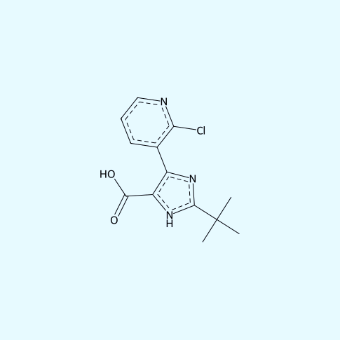 CC(C)(C)c1nc(-c2cccnc2Cl)c(C(=O)O)[nH]1